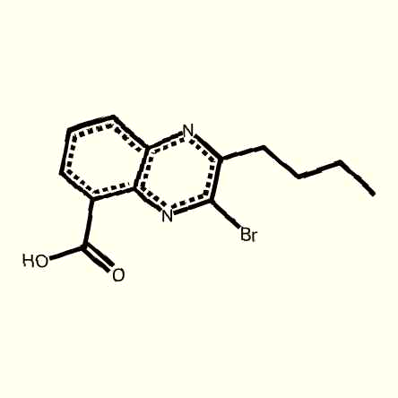 CCCCc1nc2cccc(C(=O)O)c2nc1Br